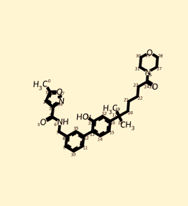 Cc1cc(C(=O)NCc2cccc(-c3ccc(C(C)(C)CCCCC(=O)N4CCOCC4)cc3O)c2)no1